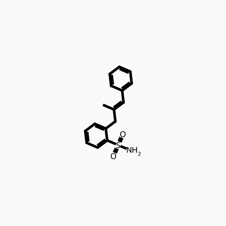 C/C(=C\c1ccccc1)Cc1ccccc1S(N)(=O)=O